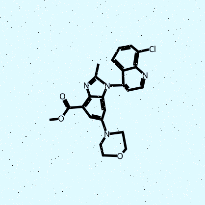 COC(=O)c1cc(N2CCOCC2)cc2c1nc(C)n2-c1ccnc2c(Cl)cccc12